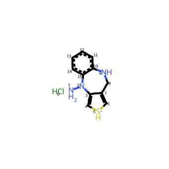 Cl.NN1C2=C[SH]C=C2CNc2ccccc21